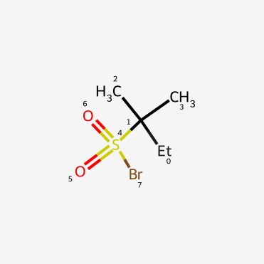 CCC(C)(C)S(=O)(=O)Br